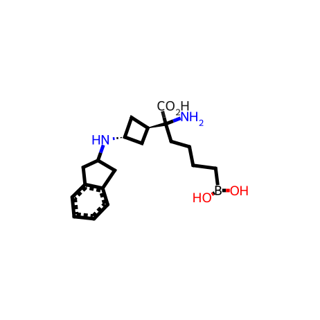 NC(CCCCB(O)O)(C(=O)O)[C@H]1C[C@H](NC2Cc3ccccc3C2)C1